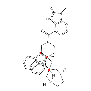 Cc1nc2ccccc2n1[C@H]1C[C@H]2CC[C@@H](C1)N2CCC1(c2ccccc2)CCN(C(=O)c2cccc3c2[nH]c(=O)n3C)CC1